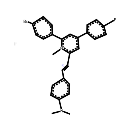 CN(C)c1ccc(/C=C/c2cc(-c3ccc(F)cc3)cc(-c3ccc(Br)cc3)[n+]2C)cc1.[I-]